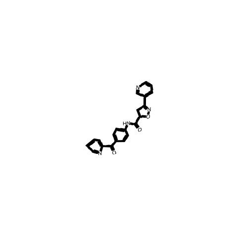 O=C(c1ccc(NC(=O)C2CC(c3cccnc3)=NO2)cc1)c1ccccn1